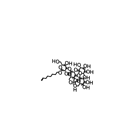 C=CCCCCCCO[C@@H]1OC(CO)[C@H](O)[C@H](O[C@@H]2OC(CO)[C@H](O)[C@H](O[C@H]3OC(CO)[C@H](O)[C@H](O)C3O)C2O[C@@H]2OC(C)[C@@H](O)[C@H](O)C2O)C1O